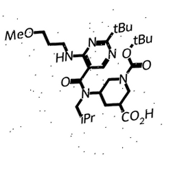 COCCCNc1nc(C(C)(C)C)ncc1C(=O)N(CC(C)C)C1CC(C(=O)O)CN(C(=O)OC(C)(C)C)C1